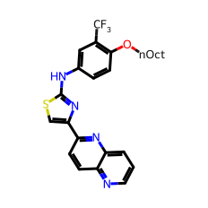 CCCCCCCCOc1ccc(Nc2nc(-c3ccc4ncccc4n3)cs2)cc1C(F)(F)F